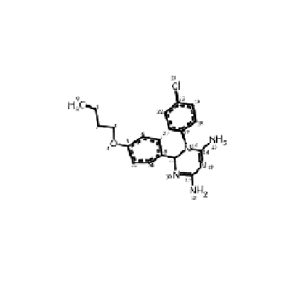 CCCCOc1ccc(C2N=C(N)N=C(N)N2c2ccc(Cl)cc2)cc1